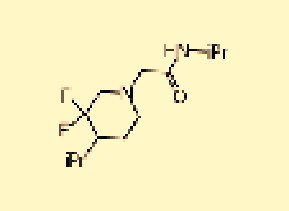 CC(C)NC(=O)CN1CCC(C(C)C)C(F)(F)C1